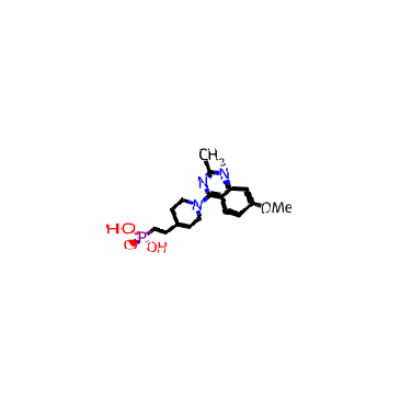 COc1ccc2c(N3CCC(CCP(=O)(O)O)CC3)nc(C)nc2c1